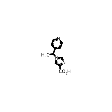 CC(c1ccncc1)n1cnc(C(=O)O)c1